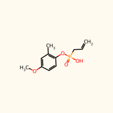 C=CCP(=O)(O)Oc1ccc(OC)cc1C